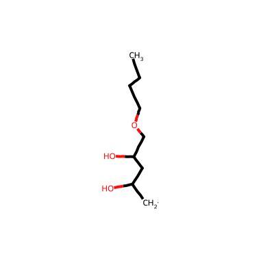 [CH2]C(O)CC(O)COCCCC